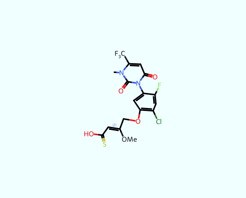 CO/C(=C\C(O)=S)COc1cc(-n2c(=O)cc(C(F)(F)F)n(C)c2=O)c(F)cc1Cl